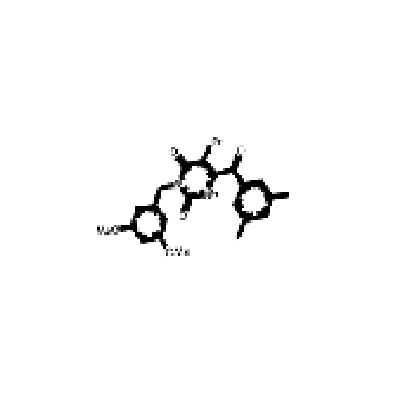 COc1cc(Cn2c(=O)[nH]c(C(=O)c3cc(C)cc(C)c3)c(C(C)C)c2=O)cc(OC)c1